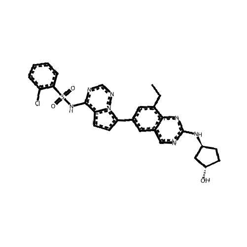 CCc1cc(-c2ccc3c(NS(=O)(=O)c4ccccc4Cl)ncnn23)cc2cnc(N[C@H]3CC[C@H](O)C3)nc12